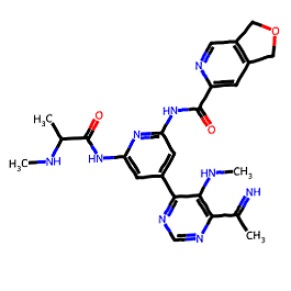 CNc1c(C(C)=N)ncnc1-c1cc(NC(=O)c2cc3c(cn2)COC3)nc(NC(=O)C(C)NC)c1